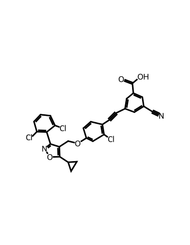 N#Cc1cc(C#Cc2ccc(OCc3c(-c4c(Cl)cccc4Cl)noc3C3CC3)cc2Cl)cc(C(=O)O)c1